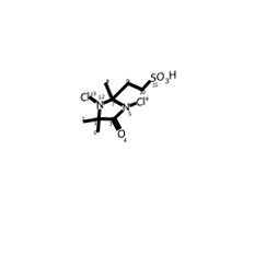 CC1(C)C(=O)N(Cl)C(C)(CCS(=O)(=O)O)N1Cl